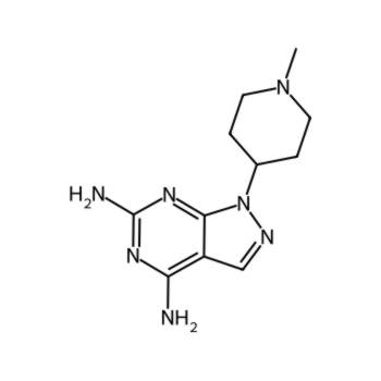 CN1CCC(n2ncc3c(N)nc(N)nc32)CC1